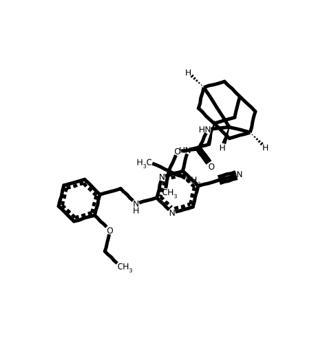 CCOc1ccccc1CNc1ncc(C#N)c(NC[C@]23CC4C[C@H](C2)[C@@H](NC(=O)OC(C)(C)C)[C@@H](C4)C3)n1